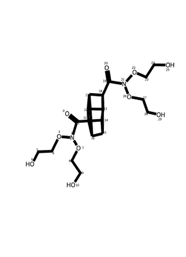 O=C(N(OCCO)OCCO)C12C3C4C1C1C2C3C41C(=O)N(OCCO)OCCO